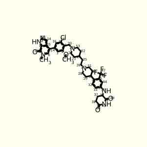 COc1cc(-c2cn(C)c(=O)c3[nH]ncc23)cc(Cl)c1CN1CCC(CCN2CCC(c3ccc(NC4CCC(=O)NC4=O)cc3C(F)(F)F)CC2)CC1